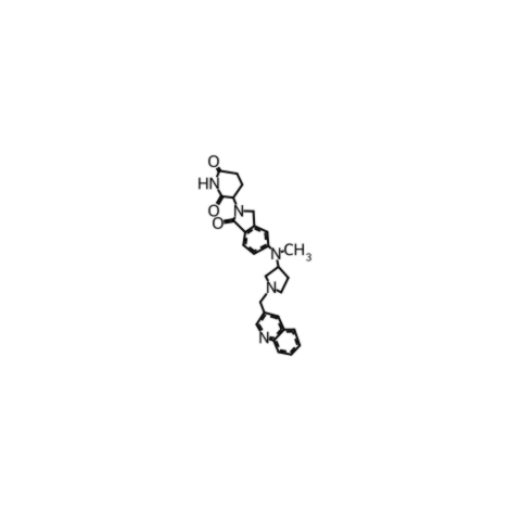 CN(c1ccc2c(c1)CN(C1CCC(=O)NC1=O)C2=O)C1CCN(Cc2cnc3ccccc3c2)C1